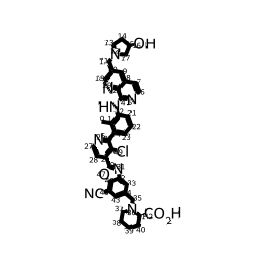 Cc1c(Nc2nccc3cc(CN4CC[C@@H](O)C4)cnc23)cccc1-c1nccc(-c2nc3cc(CN4CCCC[C@H]4C(=O)O)cc(C#N)c3o2)c1Cl